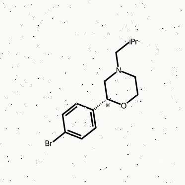 C[C](C)CN1CCO[C@H](c2ccc(Br)cc2)C1